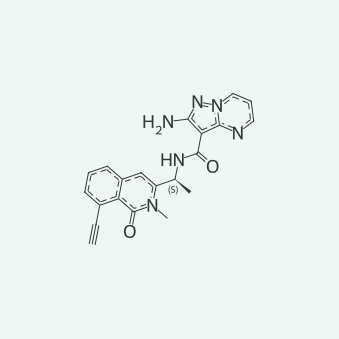 C#Cc1cccc2cc([C@H](C)NC(=O)c3c(N)nn4cccnc34)n(C)c(=O)c12